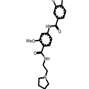 COc1cc(NC(=O)c2ccc3c(c2)OCO3)ccc1C(=O)NCCN1CCCC1